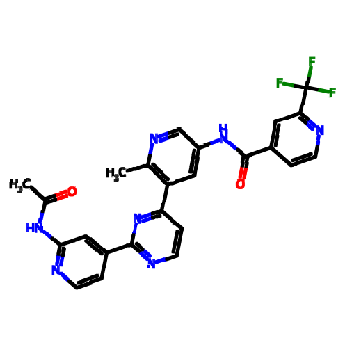 CC(=O)Nc1cc(-c2nccc(-c3cc(NC(=O)c4ccnc(C(F)(F)F)c4)cnc3C)n2)ccn1